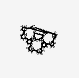 c1cc2nc(c1)c1ccc3c4cccc(n4)c4cccc(n4)c4ccc5c6cccc(n6)c6cccc(n6)c6ccc(c7cccc2n7)c2nc7c8nc1c3nc8c1nc4c5nc1c7nc62